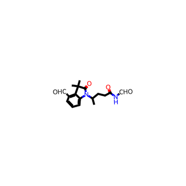 CC(CCC(=O)NC=O)N1C(=O)C(C)(C)c2c(C=O)cccc21